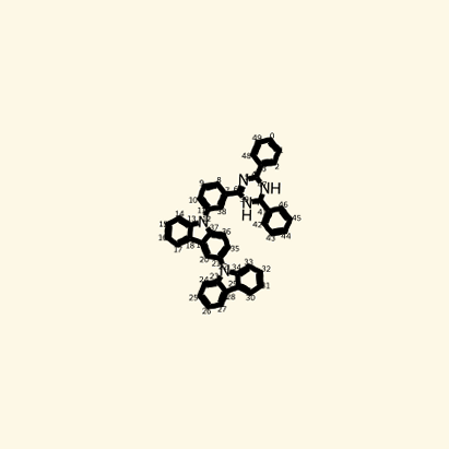 c1ccc(C2N=C(c3cccc(-n4c5ccccc5c5cc(-n6c7ccccc7c7ccccc76)ccc54)c3)NC(c3ccccc3)N2)cc1